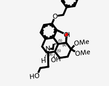 COC1(OC)CC[C@@]2(O)[C@H]3Cc4ccc(OCc5ccccc5)c5c4[C@@]2(CCN3CCO)[C@H]1O5